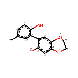 Cc1ccc(O)c(-c2cc3c(cc2O)OCCO3)c1